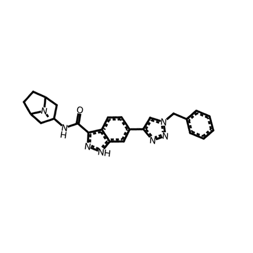 CN1C2CCC1CC(NC(=O)c1n[nH]c3cc(-c4cn(Cc5ccccc5)nn4)ccc13)C2